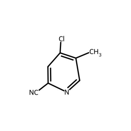 Cc1cnc(C#N)cc1Cl